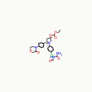 CCOC(=O)O[C@@H]1C[C@H](c2ccc(N3CCOCC3=O)cc2)N(c2ccc(Cl)cc2)C1.NC(=O)NC=O